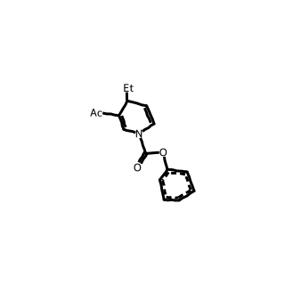 CCC1C=CN(C(=O)Oc2ccccc2)C=C1C(C)=O